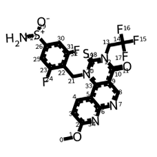 COc1ccc2c(ncc3c(=O)n(CC(F)(F)F)c(=S)n(Cc4c(F)cc([S+](N)[O-])cc4F)c32)n1